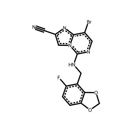 N#Cc1cn2c(NCc3c(F)ccc4c3OCO4)ncc(Br)c2n1